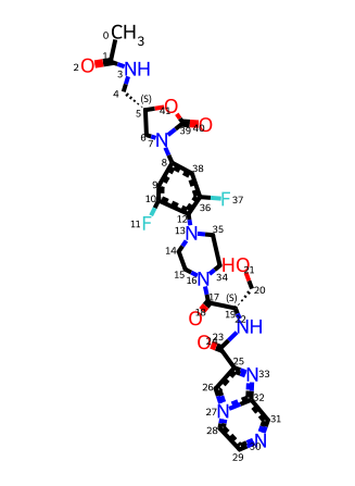 CC(=O)NC[C@H]1CN(c2cc(F)c(N3CCN(C(=O)[C@H](CO)NC(=O)c4cn5ccncc5n4)CC3)c(F)c2)C(=O)O1